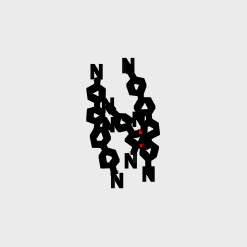 N#Cc1ccc(-c2ccc3c4ccc(-c5ccc(C#N)cc5)cc4n(-c4cc(-c5cccc(C#N)c5)c(-n5c6cc(-c7ccc(C#N)cc7)ccc6c6ccc(-c7ccc(C#N)cc7)cc65)cc4C#N)c3c2)cc1